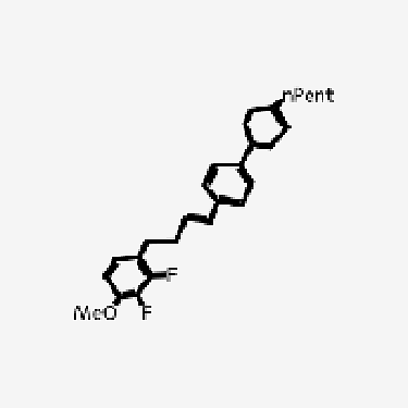 CCCCCC1=CCC(c2ccc(/C=C/CCc3ccc(OC)c(F)c3F)cc2)CC1